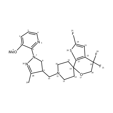 COc1cccnc1N1CC(CN2CCC3(CC2)OCC(F)(F)c2cc(F)sc23)C(C)=N1